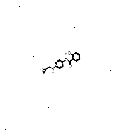 O=C(Oc1ccc(NCC2CO2)cc1)c1ccccc1O